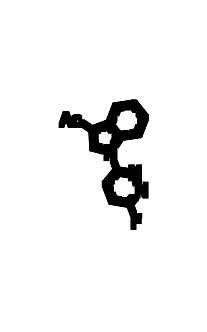 CC(=O)c1cn(-c2ccc(F)nn2)c2ccccc12